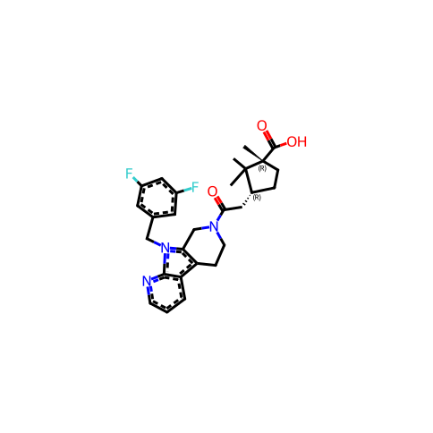 CC1(C)[C@@H](CC(=O)N2CCc3c(n(Cc4cc(F)cc(F)c4)c4ncccc34)C2)CC[C@@]1(C)C(=O)O